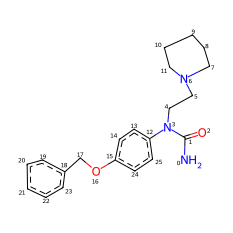 NC(=O)N(CCN1CCCCC1)c1ccc(OCc2ccccc2)cc1